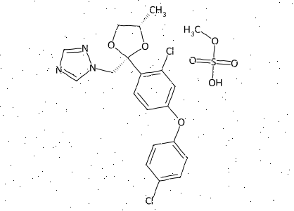 COS(=O)(=O)O.C[C@H]1CO[C@](Cn2cncn2)(c2ccc(Oc3ccc(Cl)cc3)cc2Cl)O1